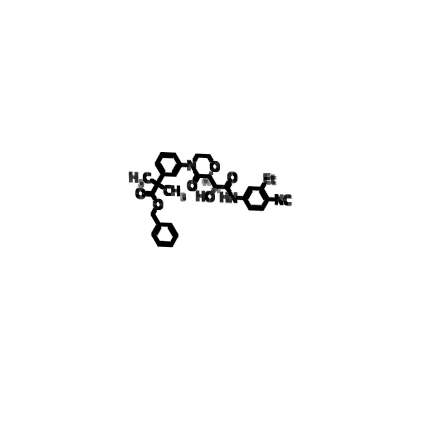 [C-]#[N+]c1ccc(NC(=O)[C@H](O)[C@H]2OCCN(c3cccc(C(C)(C)C(=O)OCc4ccccc4)c3)C2=O)cc1CC